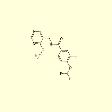 COc1ncncc1CNC(=O)c1ccc(OC(F)F)c(F)c1